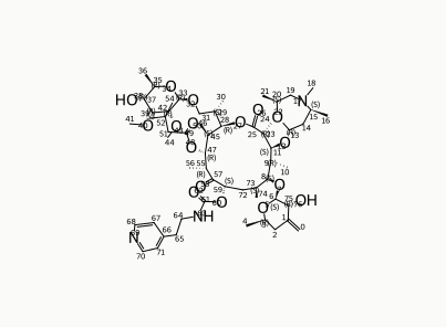 C=C1C[C@@H](C)O[C@@H](O[C@@H]2[C@@H](C)[C@H](O[C@H]3C[C@H](C)N(C)C[C@H](C)O3)[C@@H](C)C(=O)O[C@H]([C@@H](C)CO[C@@H]3O[C@H](C)[C@@H](O)[C@@H](OC)[C@H]3OC)[C@H](C)[C@@H](OC(=O)CC(C)C)[C@@H](C)C(=O)[C@@H](OC(=O)NCCc3ccncc3)C[C@@H]2C)[C@@H]1O